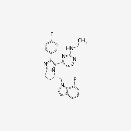 CCNc1nccc(-c2c(-c3ccc(F)cc3)nc3n2[C@H](Cn2ccc4cccc(F)c42)CC3)n1